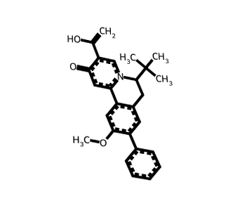 C=C(O)c1cn2c(cc1=O)-c1cc(OC)c(-c3ccccc3)cc1CC2C(C)(C)C